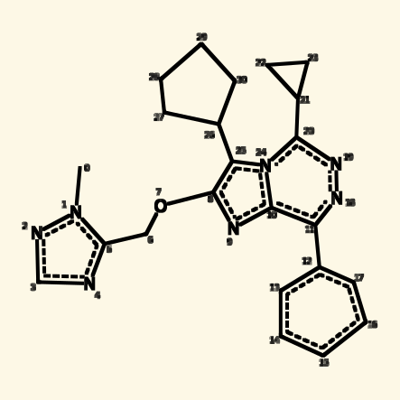 Cn1ncnc1COc1nc2c(-c3ccccc3)nnc(C3CC3)n2c1C1CCCC1